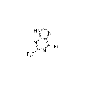 CCc1nc(C(F)(F)F)nc2[nH]cnc12